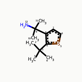 CC(C)(C)c1sccc1C(C)(C)N